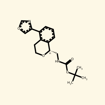 CC(C)(C)OC(=O)NC[C@@H]1OCCc2c(-c3cocn3)cccc21